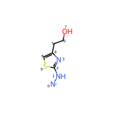 [N]Nc1nc(CCO)cs1